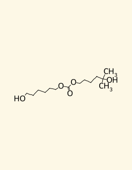 CC(C)(O)CCCCOC(=O)OCCCCCCO